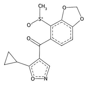 C[S+]([O-])c1c(C(=O)c2cnoc2C2CC2)ccc2c1OCO2